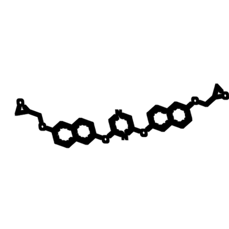 c1cc2cc(Oc3cncc(Oc4ccc5cc(OCC6CO6)ccc5c4)n3)ccc2cc1OCC1CO1